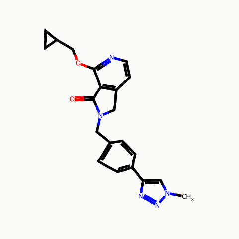 Cn1cc(-c2ccc(CN3Cc4ccnc(OCC5CC5)c4C3=O)cc2)nn1